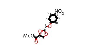 COC(=O)C1CO[C@@H](COc2ccc([N+](=O)[O-])cc2)O1